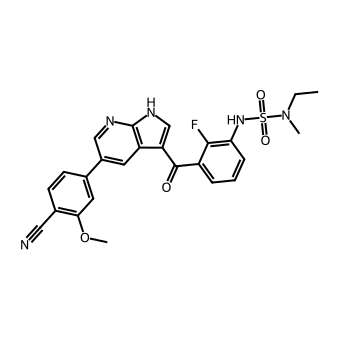 CCN(C)S(=O)(=O)Nc1cccc(C(=O)c2c[nH]c3ncc(-c4ccc(C#N)c(OC)c4)cc23)c1F